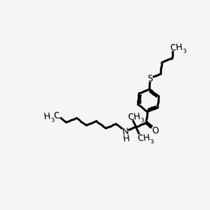 CCCCCCCNC(C)(C)C(=O)c1ccc(SCCCC)cc1